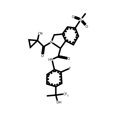 CC(O)(c1ccc(NC(=O)C2c3ccc(S(C)(=O)=O)cc3CN2C(=O)C2(C#N)CC2)c(F)c1)C(F)(F)F